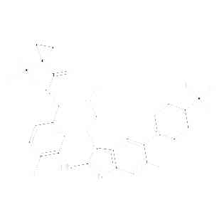 COCCn1c(Nc2cc(CNC(=O)C3(C(F)(F)F)CC3)ccc2Cl)nc2cc(Cl)c(N3CCC(C(F)(F)F)CC3)cc21